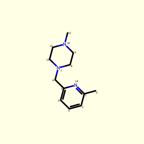 Cc1cccc(CN2CCN(C)CC2)n1